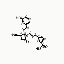 N#CC1CC(O)[C@H](CCCc2ccc(C(=O)O)o2)[C@H]1CCc1cccc(O)c1